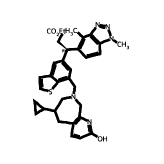 CCOC(=O)C[C@H](c1cc(CN2Cc3nc(O)ccc3CC(C3CC3)C2)c2sccc2c1)c1ccc2c(nnn2C)c1C